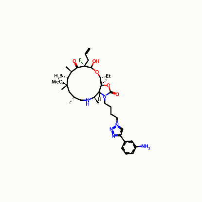 B[C@@H]1[C@@H](C)C(=O)[C@@](F)(CC=C)C(O)O[C@H](CC)[C@@]2(C)OC(=O)N(CCCCn3cc(-c4cccc(N)c4)nn3)[C@@H]2[C@@H](C)NC[C@H](C)C[C@@]1(C)OC